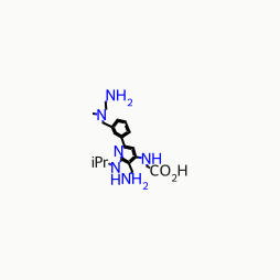 CC(C)Nc1nc(-c2cccc(CN(C)CCN)c2)cc(NCC(=O)O)c1CN